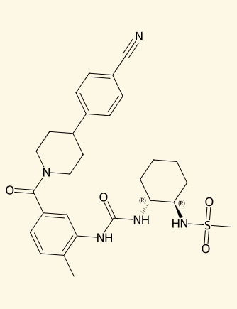 Cc1ccc(C(=O)N2CCC(c3ccc(C#N)cc3)CC2)cc1NC(=O)N[C@@H]1CCCC[C@H]1NS(C)(=O)=O